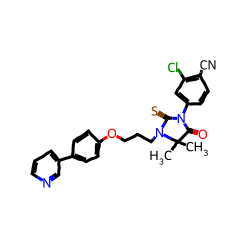 CC1(C)C(=O)N(c2ccc(C#N)c(Cl)c2)C(=S)N1CCCOc1ccc(-c2cccnc2)cc1